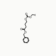 O=C(CCCOC(=O)OCI)OCc1ccccc1